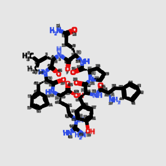 CC(C)C[C@H](NC(=O)[C@H](CCC(N)=O)NC(=O)[C@@H]1CCCN1C(=O)[C@H](Cc1ccc(O)cc1)NC(=O)[C@@H](N)Cc1ccccc1)C(=O)N[C@@H](Cc1ccccc1)C(=O)N[C@@H](CCCNC(=N)N)C(=O)O